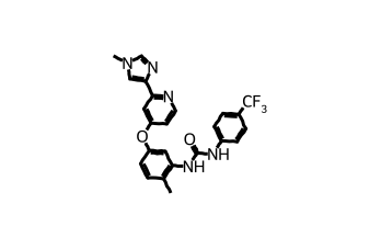 Cc1ccc(Oc2ccnc(-c3cn(C)cn3)c2)cc1NC(=O)Nc1ccc(C(F)(F)F)cc1